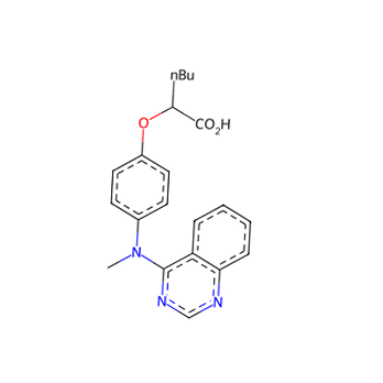 CCCCC(Oc1ccc(N(C)c2ncnc3ccccc23)cc1)C(=O)O